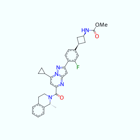 COC(=O)N[C@H]1C[C@@H](c2ccc(-c3cc4nc(C(=O)N5CCc6ccccc6[C@H]5C)cc(C5CC5)n4n3)c(F)c2)C1